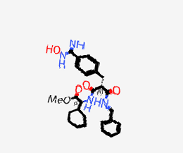 COC(=O)[C@@H](NC(=O)[C@H](Cc1ccc(C(=N)NO)cc1)C(=O)NCc1ccccc1)C1CCCCC1